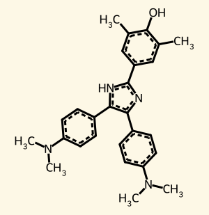 Cc1cc(-c2nc(-c3ccc(N(C)C)cc3)c(-c3ccc(N(C)C)cc3)[nH]2)cc(C)c1O